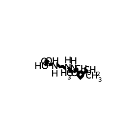 C=C(C)c1cccc(C(C)(C)NC(=O)NCCCCNCCP(=O)(O)O)c1